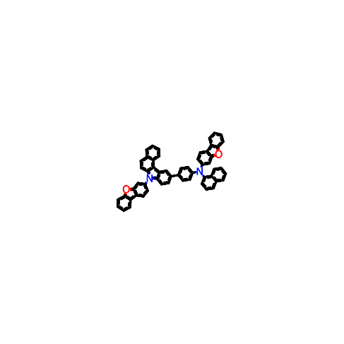 c1ccc2c(N(c3ccc(-c4ccc5c(c4)c4c6ccccc6ccc4n5-c4ccc5c(c4)oc4ccccc45)cc3)c3ccc4c(c3)oc3ccccc34)cccc2c1